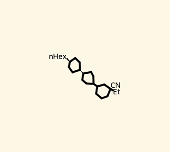 CCCCCC[C@H]1CC[C@H](C2CCC(C3CCCC(C#N)(CC)C3)CC2)CC1